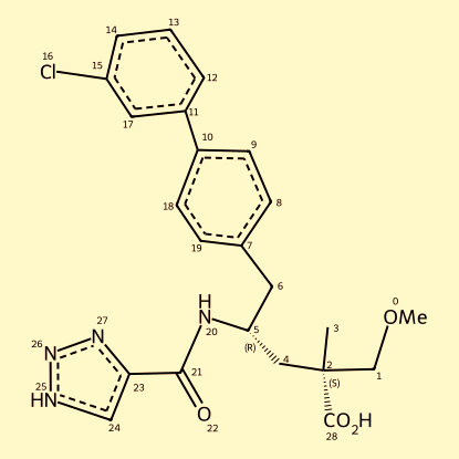 COC[C@](C)(C[C@@H](Cc1ccc(-c2cccc(Cl)c2)cc1)NC(=O)c1c[nH]nn1)C(=O)O